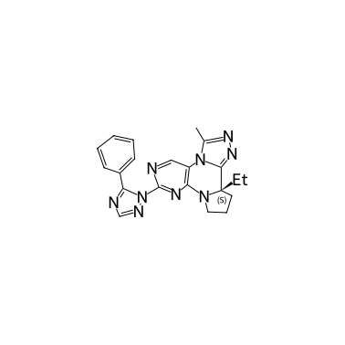 CC[C@@]12CCCN1c1nc(-n3ncnc3-c3ccccc3)ncc1-n1c(C)nnc12